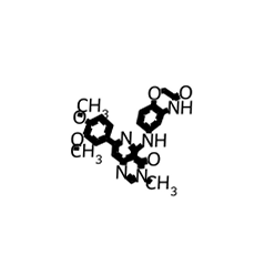 COc1ccc(-c2cc3ncn(C)c(=O)c3c(Nc3ccc4c(c3)NC(=O)CO4)n2)cc1OC